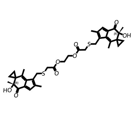 CC1=C(CSCC(=O)OCCOC(=O)CSCC2=C(C)C=C3C(=O)[C@](C)(O)C4(CC4)C(C)=C32)C2=C(C)C3(CC3)[C@@](C)(O)C(=O)C2=C1